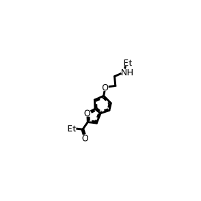 CCNCCOc1ccc2cc(C(=O)CC)oc2c1